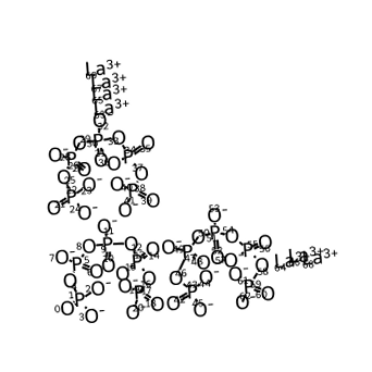 O=P([O-])([O-])OP(=O)([O-])OP(=O)([O-])OP(=O)([O-])OP(=O)([O-])[O-].O=P([O-])([O-])OP(=O)([O-])OP(=O)([O-])OP(=O)([O-])OP(=O)([O-])[O-].O=P([O-])([O-])OP(=O)([O-])OP(=O)([O-])OP(=O)([O-])OP(=O)([O-])[O-].[La+3].[La+3].[La+3].[La+3].[La+3].[La+3].[La+3]